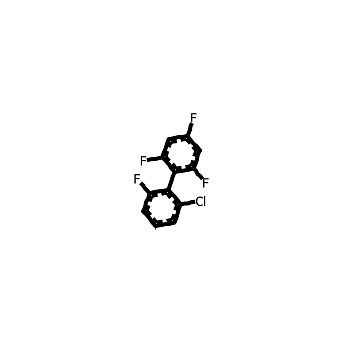 Fc1cc(F)c(-c2c(F)c[c]cc2Cl)c(F)c1